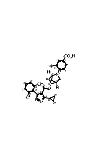 O=C(O)c1ccc(N2C[C@@H]3C[C@H]2C[C@H]3OC(=O)c2c(-c3c(Cl)cccc3Cl)noc2C2CC2)c(I)c1